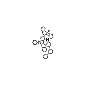 c1ccc(-c2cccc(-c3ccc(N(c4cccc5sc6c7ccccc7ccc6c45)c4cccc5c4c4cc6ccccc6cc4n5-c4ccccc4)cc3)c2)cc1